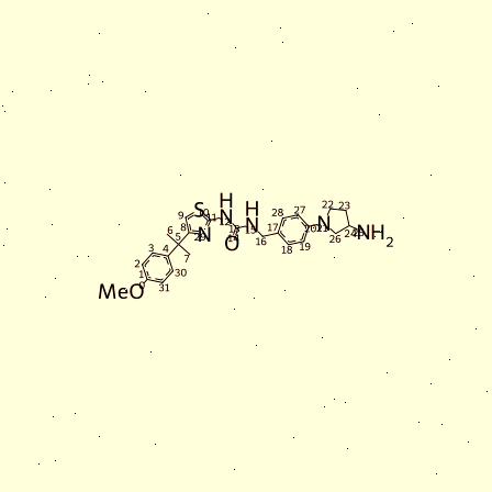 COc1ccc(C(C)(C)c2csc(NC(=O)NCc3ccc(N4CCC(N)C4)cc3)n2)cc1